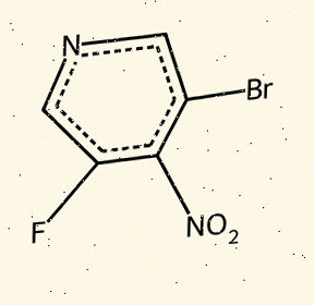 O=[N+]([O-])c1c(F)cncc1Br